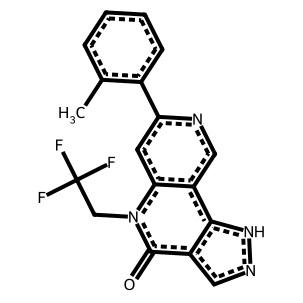 Cc1ccccc1-c1cc2c(cn1)c1[nH]ncc1c(=O)n2CC(F)(F)F